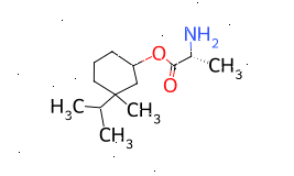 CC(C)C1(C)CCCC(OC(=O)[C@@H](C)N)C1